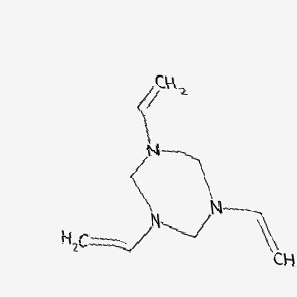 C=CN1CN(C=C)CN(C=C)C1